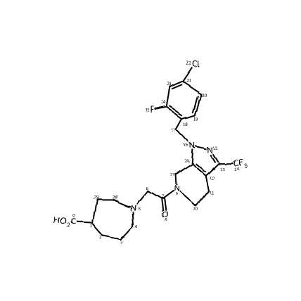 O=C(O)C1CCCN(CC(=O)N2CCc3c(C(F)(F)F)nn(Cc4ccc(Cl)cc4F)c3C2)CC1